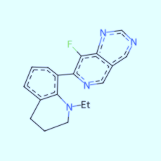 CCN1CCCc2cccc(-c3ncc4cncnc4c3F)c21